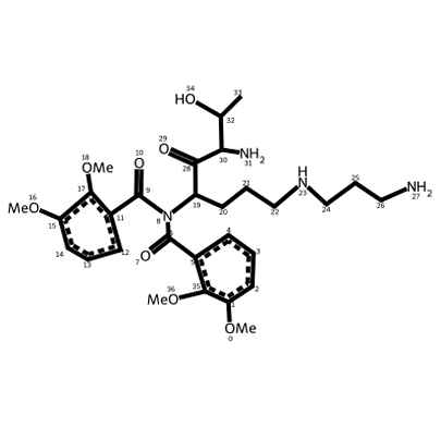 COc1cccc(C(=O)N(C(=O)c2cccc(OC)c2OC)C(CCCNCCCN)C(=O)C(N)C(C)O)c1OC